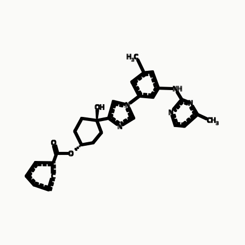 Cc1cc(Nc2nccc(C)n2)cc(-n2cnc([C@]3(O)CC[C@H](OC(=O)c4ccccc4)CC3)c2)c1